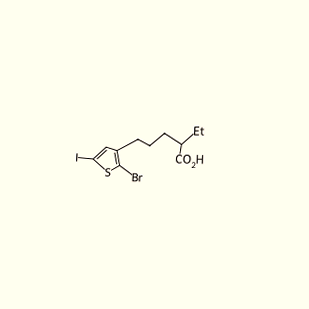 CCC(CCCc1cc(I)sc1Br)C(=O)O